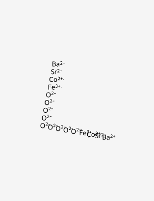 [Ba+2].[Ba+2].[Co+2].[Co+2].[Fe+3].[Fe+3].[O-2].[O-2].[O-2].[O-2].[O-2].[O-2].[O-2].[O-2].[O-2].[Sr+2].[Sr+2]